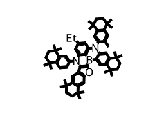 CCc1cc2c3c(c1)N(c1ccc4c(c1)C(C)(C)CCC4(C)C)c1c(oc4cc5c(cc14)C(C)(C)CCC5(C)C)B3c1cc3c(cc1N2c1cc2c(cc1C)C(C)(C)CCC2(C)C)C(C)(C)CCC3(C)C